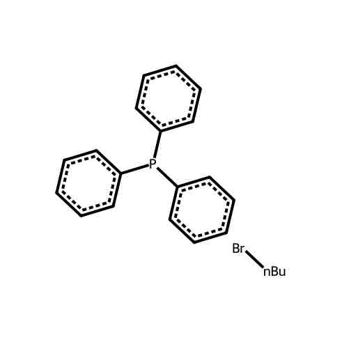 CCCCBr.c1ccc(P(c2ccccc2)c2ccccc2)cc1